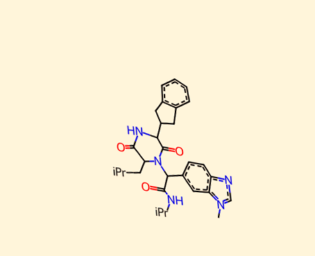 CC(C)CC1C(=O)NC(C2Cc3ccccc3C2)C(=O)N1C(C(=O)NC(C)C)c1ccc2ncn(C)c2c1